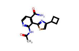 CC(=O)Nc1nccc(C(N)=O)c1-c1nc(C2CCC2)cs1